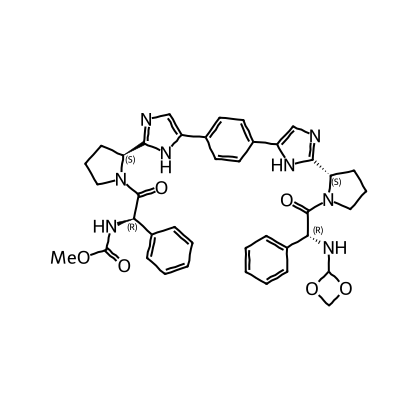 COC(=O)N[C@@H](C(=O)N1CCC[C@H]1c1ncc(-c2ccc(-c3cnc([C@@H]4CCCN4C(=O)[C@H](NC4OCO4)c4ccccc4)[nH]3)cc2)[nH]1)c1ccccc1